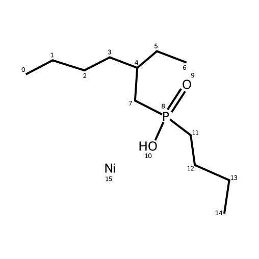 CCCCC(CC)CP(=O)(O)CCCC.[Ni]